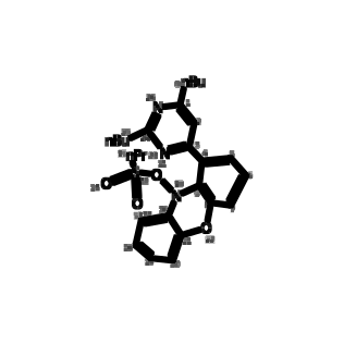 CCCCc1cc(-c2cccc3c2N(OS(=O)(=O)CCC)c2ccccc2O3)nc(CCCC)n1